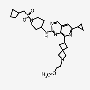 COCCN1CC2(CC(c3nc(C4CC4)cc4cnc(NC5CCN(S(=O)(=O)CC6CCC6)CC5)nc34)C2)C1